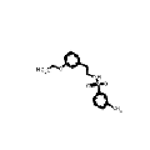 Cc1cccc(S(=O)(=O)NCCc2cccc(OCC(=O)O)c2)c1